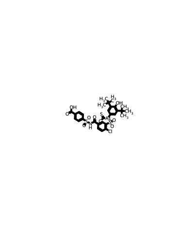 CC(=S)[As](c1cc(C(C)(C)C)c(O)c(C(C)(C)C)c1)S(=O)(=O)c1cc(C(=O)NS(=O)(=O)c2ccc(C(=O)O)cc2)ccc1Cl